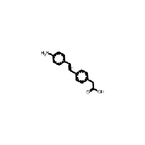 Nc1ccc(/C=C/c2ccc(CC(=O)O)cc2)cc1